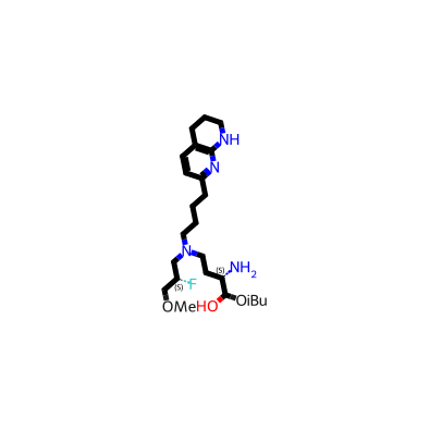 COC[C@@H](F)CN(CCCCc1ccc2c(n1)NCCC2)CC[C@H](N)C(O)OCC(C)C